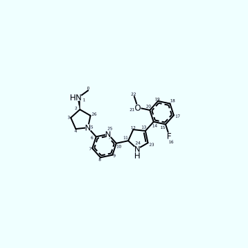 CN[C@@H]1CCN(c2cccc(C3CC(c4c(F)cccc4OC)=CN3)n2)C1